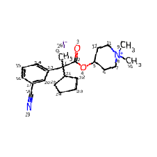 CC(C(=O)OC1CC[N+](C)(C)CC1)(c1cccc(C#N)c1)C1CCCC1.[I-]